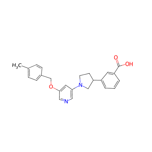 Cc1ccc(COc2cncc(N3CCC(c4cccc(C(=O)O)c4)C3)c2)cc1